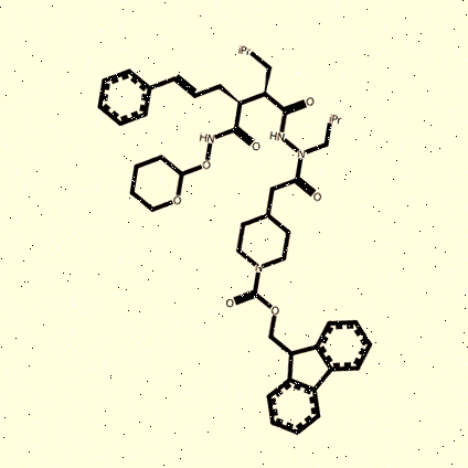 CC(C)C[C@@H](C(=O)NN(CC(C)C)C(=O)CC1CCN(C(=O)OCC2c3ccccc3-c3ccccc32)CC1)[C@H](CC=Cc1ccccc1)C(=O)NOC1CCCCO1